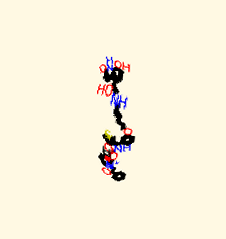 O=C(NC(c1ccsc1)c1cccc(OCCCCCCNCC(O)c2ccc(O)c3[nH]c(=O)ccc23)c1)O[C@H]1C[N+]2(CC(=O)c3ccccc3)CCC1CC2